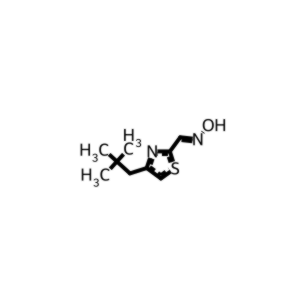 CC(C)(C)Cc1csc(C=NO)n1